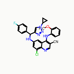 N#Cc1cnc2c(Cl)cc(NC(c3ccc(F)cc3)c3cn(C4CC4)nn3)cc2c1Nc1ccccc1OC(F)(F)F